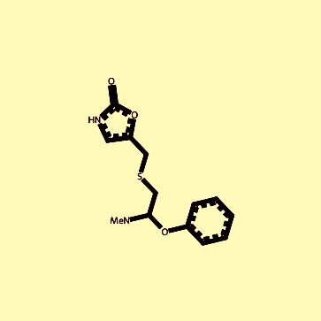 CNC(CSCc1c[nH]c(=O)o1)Oc1ccccc1